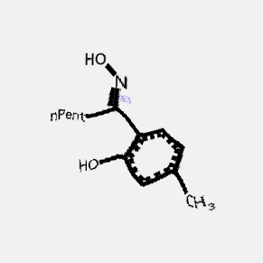 CCCCC/C(=N\O)c1ccc(C)cc1O